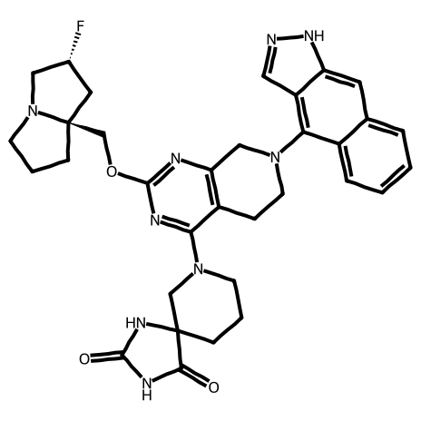 O=C1NC(=O)C2(CCCN(c3nc(OC[C@@]45CCCN4C[C@H](F)C5)nc4c3CCN(c3c5ccccc5cc5[nH]ncc35)C4)C2)N1